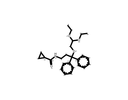 CCOC(COC(CCNC(=O)C1CC1)(c1ccccc1)c1ccccc1)OCC